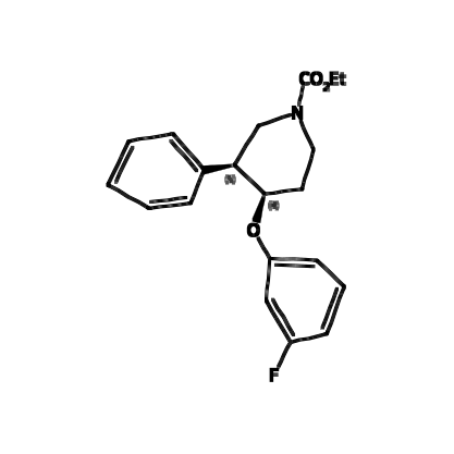 CCOC(=O)N1CC[C@@H](Oc2cccc(F)c2)[C@@H](c2ccccc2)C1